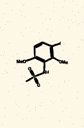 COc1ccc(I)c(OC)c1NS(C)(=O)=O